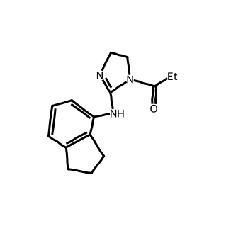 CCC(=O)N1CCN=C1Nc1cccc2c1CCC2